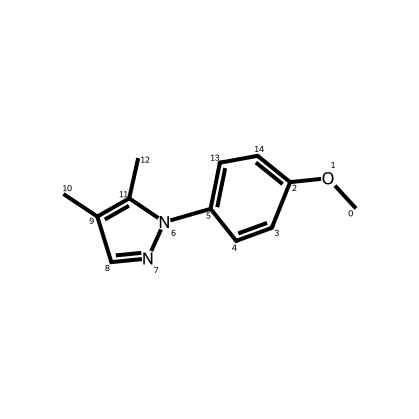 COc1ccc(-n2ncc(C)c2C)cc1